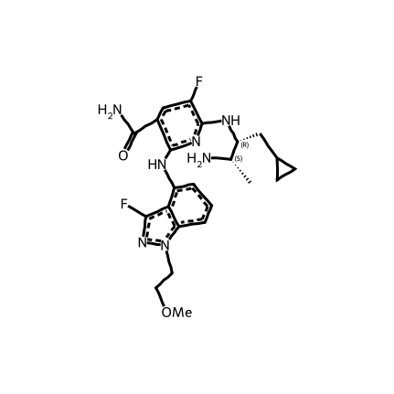 COCCn1nc(F)c2c(Nc3nc(N[C@H](CC4CC4)[C@H](C)N)c(F)cc3C(N)=O)cccc21